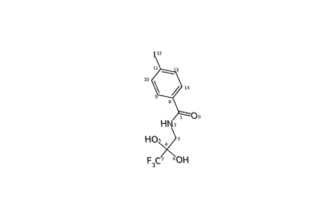 O=C(NCC(O)(O)C(F)(F)F)c1ccc(I)cc1